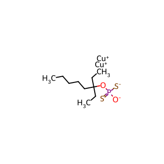 CCCCCC(CC)(CC)OP([O-])(=S)[S-].[Cu+].[Cu+]